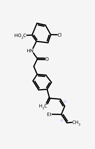 C=C(/C=C\C(=C/C)CC)c1ccc(CC(=O)Nc2cc(Cl)ccc2C(=O)O)cc1